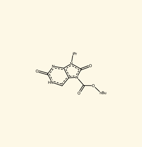 CCCCOC(=O)n1c(=O)n(C(C)C)c2nc(=O)[nH]cc21